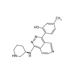 Cc1ccc(-c2nnc(N[C@@H]3CCCNC3)c3ccncc23)c(O)c1